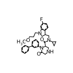 COCCCN1CC(CN(C(=O)C2CNCC(=O)N2c2cccc(-c3ccccc3)c2)C2CC2)c2ccc(F)cc21